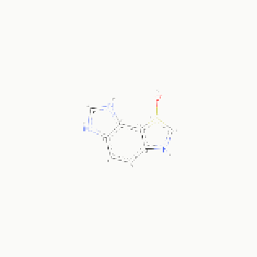 [O-][s+]1cnc2ccc3[nH]cnc3c21